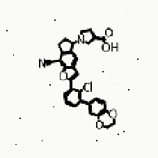 N#Cc1c2c(cc3cc(-c4cccc(-c5ccc6c(c5)OCCO6)c4Cl)oc13)C(N1CCC(C(=O)O)C1)CC2